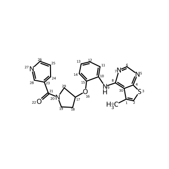 Cc1csc2ncnc(Nc3ccccc3OC3CCN(C(=O)c4cccnc4)C3)c12